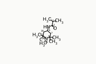 CC(C)C(=O)NC1CC(C)(C)N([O])C(C)(C)C1